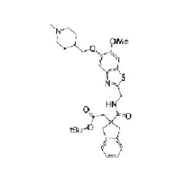 COc1cc2sc(CNC(=O)C3(CC(=O)OC(C)(C)C)Cc4ccccc4C3)nc2cc1OCC1CCN(C)CC1